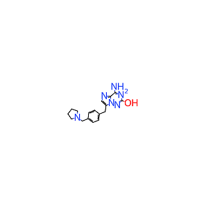 Nc1nc(O)nn2c(Cc3ccc(CN4CCCC4)cc3)cnc12